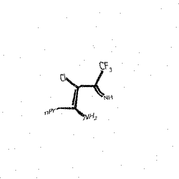 CCC/C(N)=C(\Cl)C(=N)C(F)(F)F